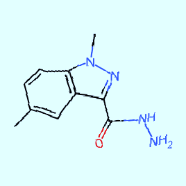 Cc1ccc2c(c1)c(C(=O)NN)nn2C